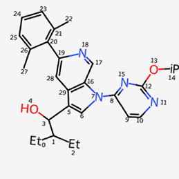 CCC(CC)C(O)c1cn(-c2ccnc(OC(C)C)n2)c2cnc(-c3c(C)cccc3C)cc12